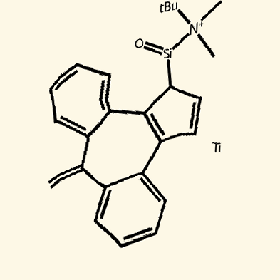 C=C1c2ccccc2C2=C(c3ccccc31)C([Si](=O)[N+](C)(C)C(C)(C)C)C=C2.[Ti]